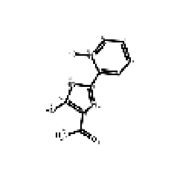 NC(=O)c1nc(-c2cccc[n+]2[O-])[nH]c1O